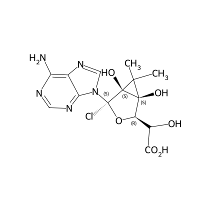 CC1(C)[C@@]2(O)[C@](Cl)(n3cnc4c(N)ncnc43)O[C@H](C(O)C(=O)O)[C@@]12O